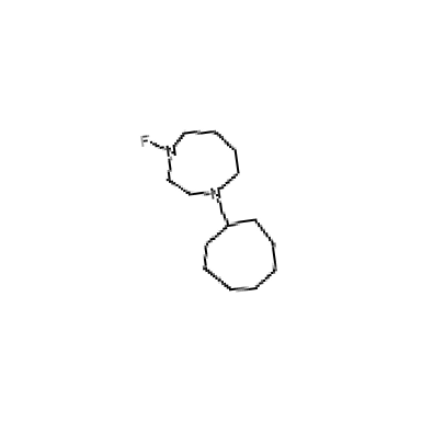 FN1CCCCN(C2CCCCCCC2)CC1